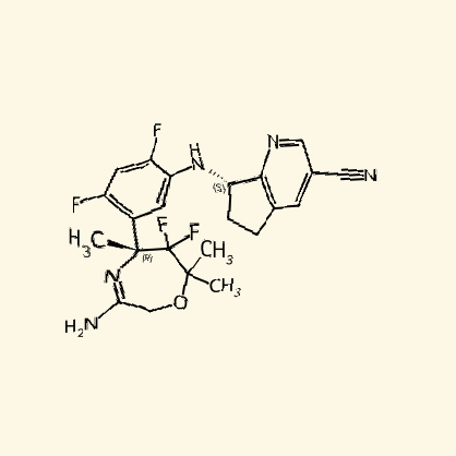 CC1(C)OCC(N)=N[C@](C)(c2cc(N[C@H]3CCc4cc(C#N)cnc43)c(F)cc2F)C1(F)F